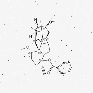 C#C[C@]1(OC(=O)c2cccnc2)CC[C@H](OC)[C@]23CC(CC21)[C@@]12C[C@H](OC)[C@H]4CC3[C@]1(OC(C)O2)[C@H]4C